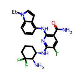 CCn1ccc2c(Nc3nc(N[C@@H]4CCCC(F)(F)[C@@H]4N)c(F)cc3C(N)=O)cccc21